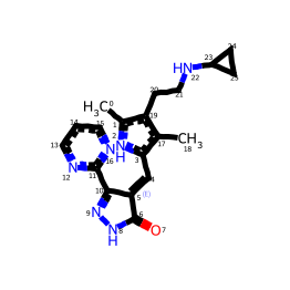 Cc1[nH]c(/C=C2/C(=O)NN=C2c2ncccn2)c(C)c1CCNC1CC1